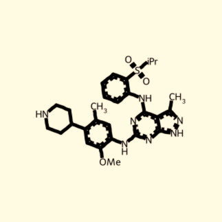 COc1cc(C2CCNCC2)c(C)cc1Nc1nc(Nc2ccccc2S(=O)(=O)C(C)C)c2c(C)n[nH]c2n1